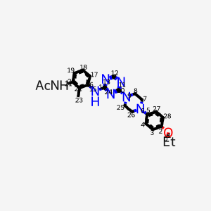 CCOc1ccc(N2CCN(c3ncnc(Nc4cccc(NC(C)=O)c4C)n3)CC2)cc1